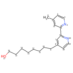 Cc1ccnc(-c2cc(CCCCCCCCO)ccn2)c1